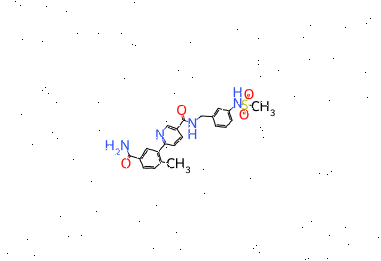 Cc1ccc(C(N)=O)cc1-c1ccc(C(=O)NCc2cccc(NS(C)(=O)=O)c2)cn1